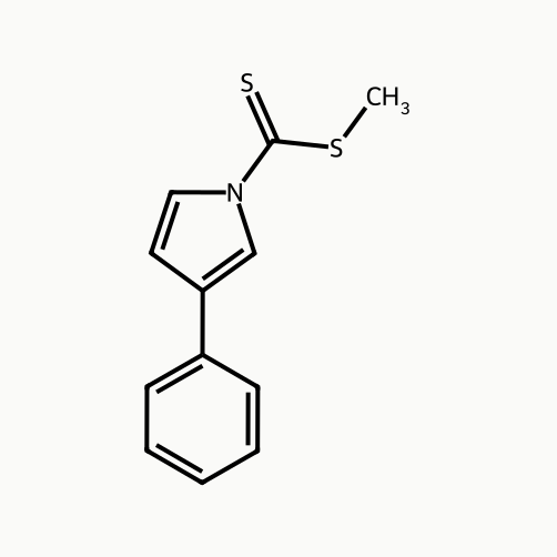 CSC(=S)n1ccc(-c2ccccc2)c1